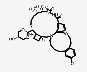 C[C@@H]1[C@@H](C)CCC[C@@H]([C@H]2OC[C@@H](O)CO2)[C@@H]2CC[C@H]2CN2CCCCc3cc(Cl)ccc3CCOc3ccc(cc32)C(=O)NS1(=O)=O